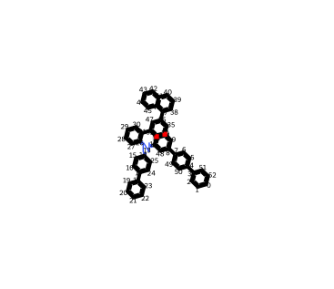 c1ccc(-c2ccc(-c3cccc(N(c4ccc(-c5ccccc5)cc4)c4ccccc4-c4cccc(-c5cccc6ccccc56)c4)c3)cc2)cc1